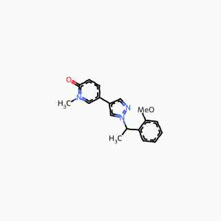 COc1ccccc1C(C)n1cc(-c2ccc(=O)n(C)c2)cn1